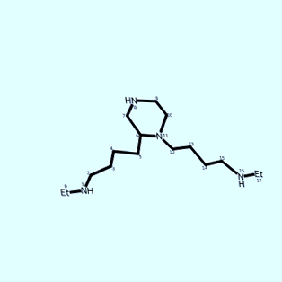 CCNCCCCC1CNCCN1CCCCNCC